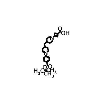 CC(C)(C)OC(=O)c1ccc(N2CCC(CC3CCN(C45CC(C(=O)O)(C4)C5)CC3)CC2)cc1